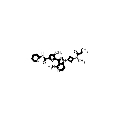 C=CC(=O)N(C)[C@H]1C[C@@H](n2nc(-c3sc(C(=O)Nc4ccccn4)cc3C)c3c(N)nccc32)C1